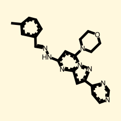 Cc1cccc(/C=N/Nc2cc(N3CCOCC3)n3nc(-c4ccncn4)cc3n2)c1